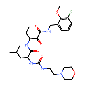 CCC(NC(=O)C(CC(C)C)NC(=O)NCCN1CCOCC1)C(=O)C(=O)NCc1cccc(Cl)c1OC